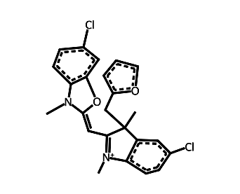 CN1/C(=C/C2=[N+](C)c3ccc(Cl)cc3C2(C)Cc2ccco2)Oc2cc(Cl)ccc21